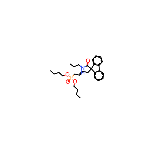 CCCCOP(=O)(CC=CCC1(C(=O)NCCC)c2ccccc2-c2ccccc21)OCCCC